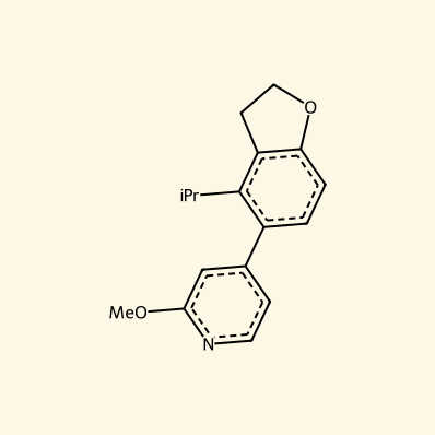 COc1cc(-c2ccc3c(c2C(C)C)CCO3)ccn1